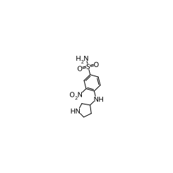 NS(=O)(=O)c1ccc(NC2CCNC2)c([N+](=O)[O-])c1